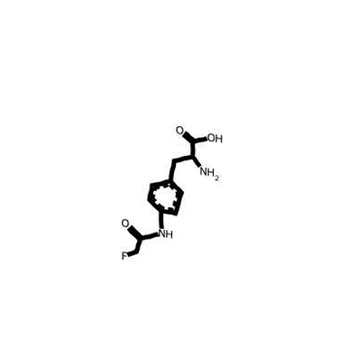 NC(Cc1ccc(NC(=O)CF)cc1)C(=O)O